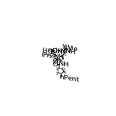 CCCCC[C@H]1CC[C@H](C(=O)N[C@@H](CCCNC(=N)NC)C(=O)N[C@@H](CC(C)C)B(O)O)CC1